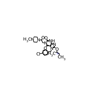 C/C=C(\C)Oc1nc2[nH]c(=O)n(CC(=O)N3CCN(C)CC3)c(=O)c2n1Cc1ccc(Cl)cc1